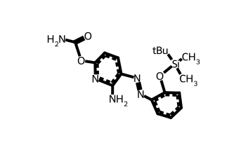 CC(C)(C)[Si](C)(C)Oc1ccccc1/N=N/c1ccc(OC(N)=O)nc1N